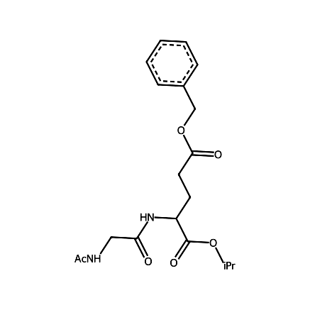 CC(=O)NCC(=O)NC(CCC(=O)OCc1ccccc1)C(=O)OC(C)C